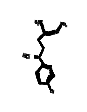 Cl.N#Cc1ccc(NCCC(N)=NN)nc1